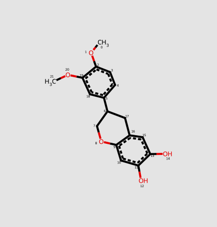 COc1ccc(C2COc3cc(O)c(O)cc3C2)cc1OC